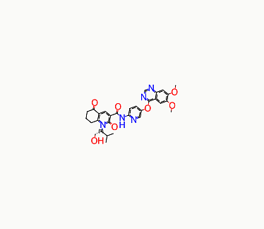 COc1cc2ncnc(Oc3ccc(NC(=O)c4cc5c(n([C@@H](CO)C(C)C)c4=O)CCCC5=O)nc3)c2cc1OC